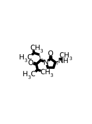 CN[C@@H]1CCN([C@@H](CC(C)C)C(=O)C(C)C)C1=O